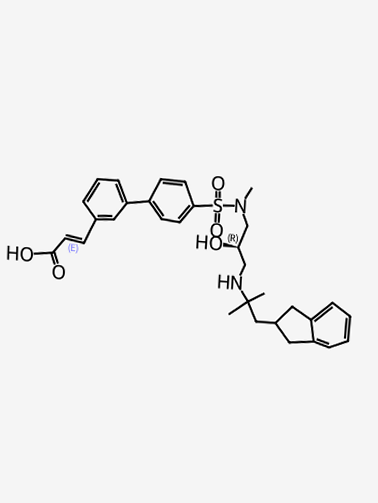 CN(C[C@H](O)CNC(C)(C)CC1Cc2ccccc2C1)S(=O)(=O)c1ccc(-c2cccc(/C=C/C(=O)O)c2)cc1